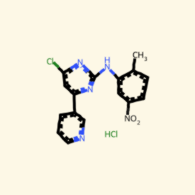 Cc1ccc([N+](=O)[O-])cc1Nc1nc(Cl)cc(-c2cccnc2)n1.Cl